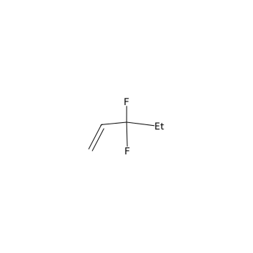 C=CC(F)(F)CC